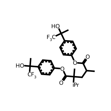 CC(CC(C)(C(=O)Oc1ccc(C(C)(O)C(F)(F)F)cc1)C(C)C)C(=O)Oc1ccc(C(C)(O)C(F)(F)F)cc1